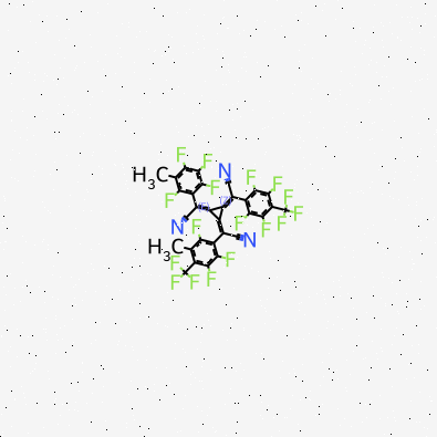 Cc1c(F)c(F)c(F)c(/C(C#N)=C2/C(=C(C#N)c3c(F)c(C)c(C(F)(F)F)c(F)c3F)/C2=C(/C#N)c2c(F)c(F)c(C(F)(F)F)c(F)c2F)c1F